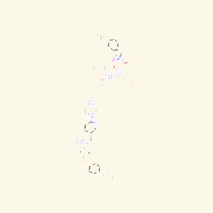 COc1cc(C#N)ccc1[C@H](C)NC(=O)[C@@H]1C[C@@H](O)CN1C(=O)C(NC(=O)COCCN1CCN(c2ccc(C(=O)NC3C(C)(C)C(Oc4ccc(C#N)c(Cl)c4)C3(C)C)cn2)CC1)C(C)(C)C